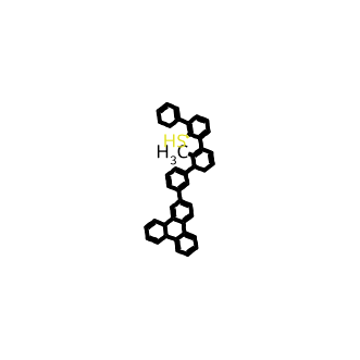 CC1=C(c2cccc(C3=CC=CCC3)c2S)C=CCC1c1cccc(-c2ccc3c(c2)C2C=CC=CC2c2ccccc2-3)c1